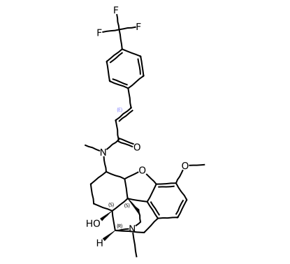 COc1ccc2c3c1OC1C(N(C)C(=O)/C=C/c4ccc(C(F)(F)F)cc4)CC[C@@]4(O)[C@@H](C2)N(C)CC[C@]314